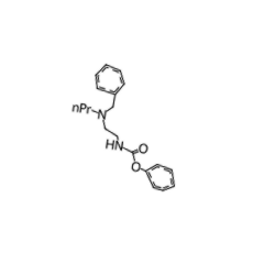 CCCN(CCNC(=O)Oc1ccccc1)Cc1ccccc1